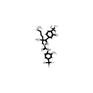 CSCCCC1(C)CN(C(=O)Nc2ccc(C(F)(F)F)cc2C)N=C1c1ccc(C(F)(F)F)c(Cl)c1